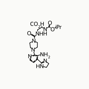 CC(C)OC(=O)N[C@@H](CNC(=O)N1CCN(c2nccc(C3=NCCN3)c2N)CC1)C(=O)O